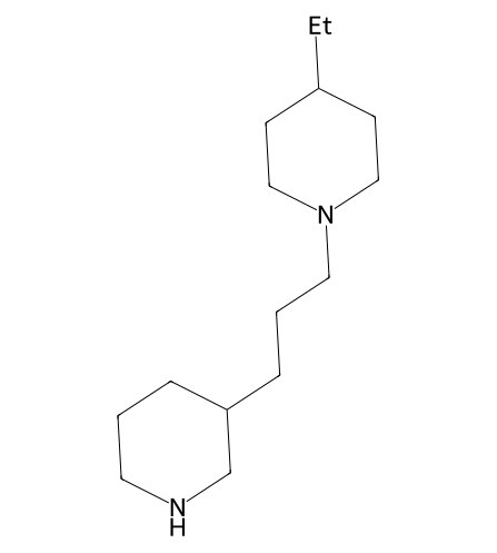 [CH2]CC1CCN(CCCC2CCCNC2)CC1